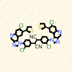 N#CC(c1ccc(-n2cnc3cnc4cc(Cl)c(-c5ccsc5)cc4c32)c(Cl)c1)C(C#N)c1ccc(-n2cnc3cnc4cc(Cl)c(-c5ccsc5)cc4c32)c(Cl)c1